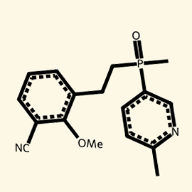 COc1c(C#N)cccc1CCP(C)(=O)c1ccc(C)nc1